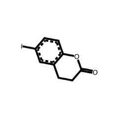 O=C1CCc2cc(I)ccc2O1